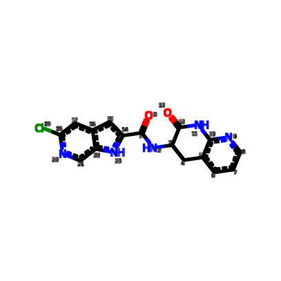 O=C(NC1Cc2cccnc2NC1=O)c1cc2cc(Cl)ncc2[nH]1